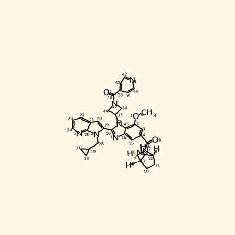 COc1cc(C(=O)N2C[C@H]3CC[C@@H]2[C@@H]3N)cc2nc(-c3cc4cccnc4n3CC3CC3)n(C3CN(C(=O)c4ccncc4)C3)c12